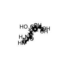 N[C@H](Cc1c[nH]cn1)C(=O)N1CC(Oc2ccc([C@H]3C[C@H]3B(O)O)c(O)c2C(=O)O)C1